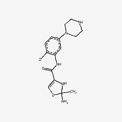 CC1(N)NC(C(=O)Nc2cc(N3CCNCC3)ccc2Cl)=CO1